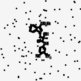 CCOC(=O)c1cn(C[C@](C)(O)C(=O)Nc2ccc(C#N)c(C(F)(F)F)c2)c2ccccc12